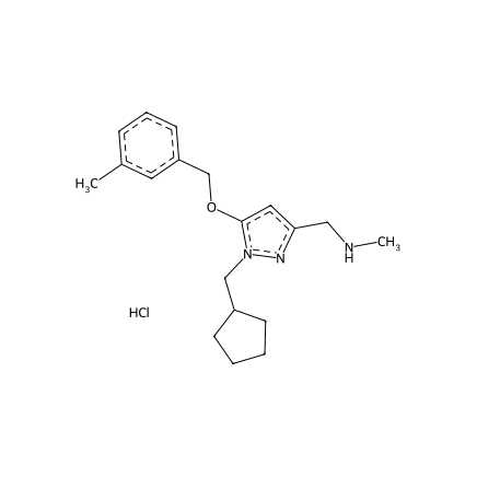 CNCc1cc(OCc2cccc(C)c2)n(CC2CCCC2)n1.Cl